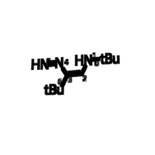 CC(C)(C)N/C=C(\N=N)C(C)(C)C